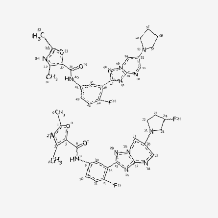 Cc1nc(C)c(C(=O)Nc2ccc(F)c(-c3nc4ncc(N5CCC(F)C5)cn4n3)c2)o1.Cc1nc(C)c(C(=O)Nc2ccc(F)c(-c3nc4ncc(N5CCCC5)cn4n3)c2)o1